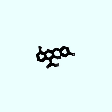 O=C(O)c1c(O)c(Cc2ccc(Cl)cc2)nc2c(Br)cccc12